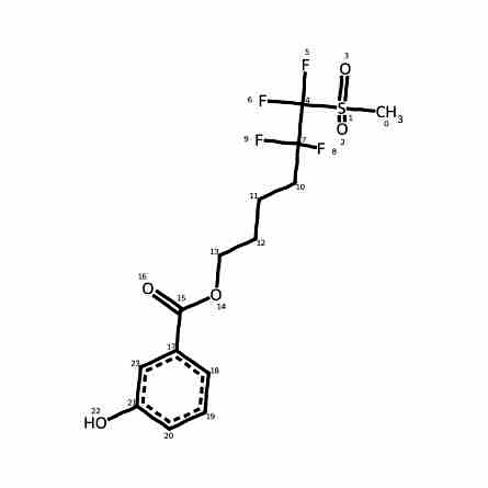 CS(=O)(=O)C(F)(F)C(F)(F)CCCCOC(=O)c1cccc(O)c1